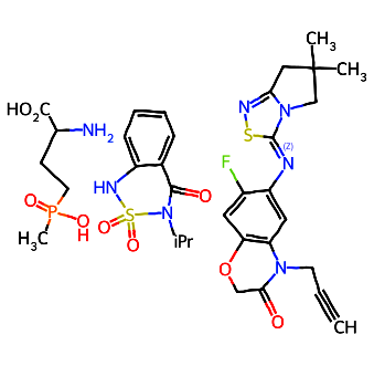 C#CCN1C(=O)COc2cc(F)c(/N=c3\snc4n3CC(C)(C)C4)cc21.CC(C)N1C(=O)c2ccccc2NS1(=O)=O.CP(=O)(O)CCC(N)C(=O)O